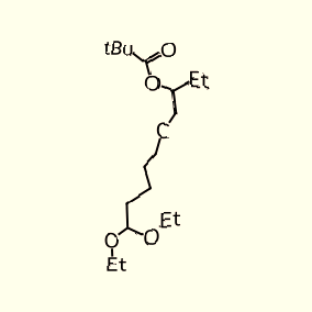 CCOC(CCCCCCC(CC)OC(=O)C(C)(C)C)OCC